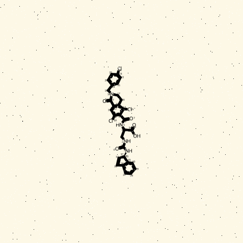 O=C(NCC(NC(=O)c1c(Cl)cc2c(c1Cl)CCN(Cc1ccc(Cl)cc1)C2=O)C(=O)O)N[C@@H]1C=Cc2ccccc21